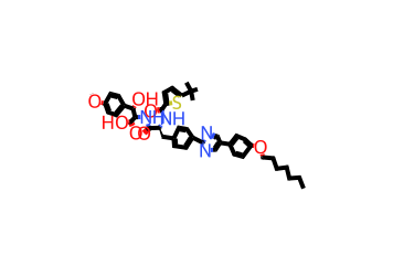 CCCCCCCOc1ccc(-c2cnc(-c3ccc(C[C@H](NC(=O)c4ccc(C(C)(C)C)s4)C(=O)NC(C(=O)O)C(O)c4ccc(OC)cc4)cc3)nc2)cc1